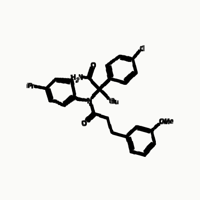 COc1cccc(CCC(=O)N(c2ccc(C(C)C)cc2)C(C(N)=O)(c2ccc(Cl)cc2)C(C)(C)C)c1